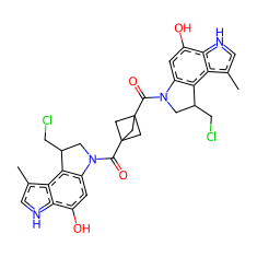 Cc1c[nH]c2c(O)cc3c(c12)C(CCl)CN3C(=O)C12CC(C(=O)N3CC(CCl)c4c3cc(O)c3[nH]cc(C)c43)(C1)C2